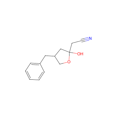 N#CCC1(O)CC(Cc2ccccc2)CO1